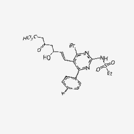 CCS(=O)(=O)Nc1nc(-c2ccc(F)cc2)c(/C=C/C(O)CC(=O)CC(=O)O)c(C(C)C)n1